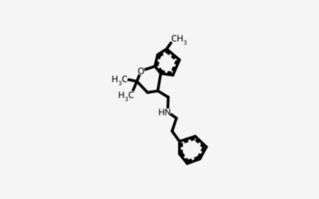 Cc1ccc2c(c1)OC(C)(C)CC2CNCCc1ccccc1